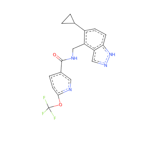 O=C(NCc1c(C2CC2)ccc2[nH]ncc12)c1ccc(OC(F)(F)F)nc1